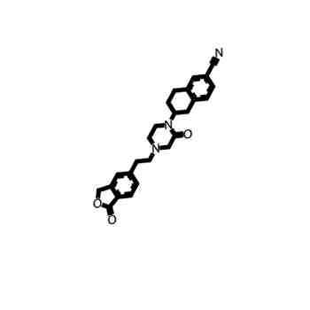 N#Cc1ccc2c(c1)CCC(N1CCN(CCc3ccc4c(c3)COC4=O)CC1=O)C2